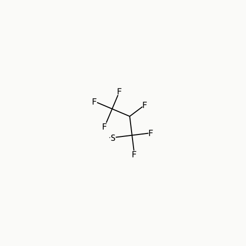 FC(C(F)(F)F)C(F)(F)[S]